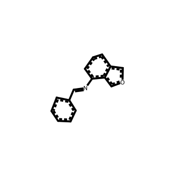 C(=N\c1cccc2cocc12)/c1ccccc1